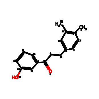 Cc1ccc(CCC(=O)c2cccc(O)c2)cc1C